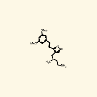 COc1cc(/C=C/c2n[nH]cc2CN(C)CCN)cc(OC)c1